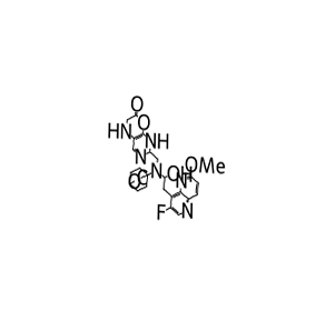 COc1ccc2ncc(F)c(CC(O)N(CC3N=CC4=C(N3)OC(=O)CN4)C34CCC(CC3)OC4)c2n1